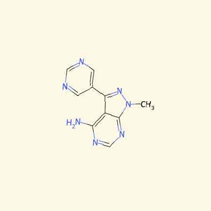 Cn1nc(-c2cncnc2)c2c(N)ncnc21